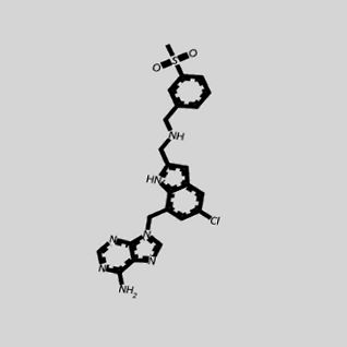 CS(=O)(=O)c1cccc(CNCc2cc3cc(Cl)cc(Cn4cnc5c(N)ncnc54)c3[nH]2)c1